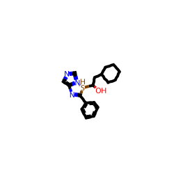 OC(CC1CCCCC1)[SH]1C(c2ccccc2)=Nc2cncn21